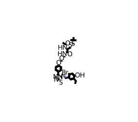 CCc1cc(/C=N/n2c(SC)nnc2-c2ccc(OCOCNC(=O)C(CSSC(C)(C)C)NC(C)=O)cc2)c(Br)cc1O